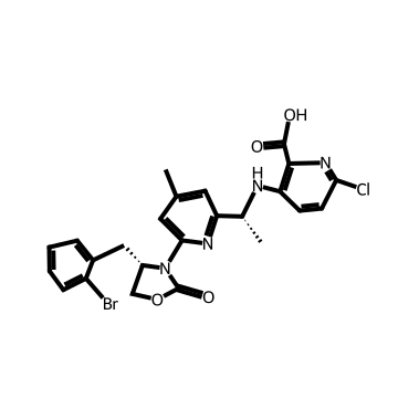 Cc1cc([C@@H](C)Nc2ccc(Cl)nc2C(=O)O)nc(N2C(=O)OC[C@@H]2Cc2ccccc2Br)c1